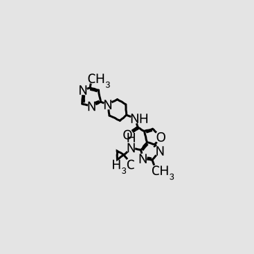 Cc1cc(N2CCC(NC(=O)c3coc4nc(C)nc(NC5(C)CC5)c34)CC2)ncn1